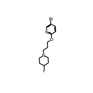 FC1CCN(CCCOc2ccc(Br)cn2)CC1